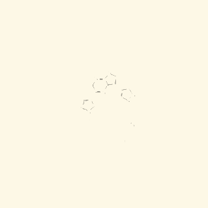 CCN1CCC(n2cc(-c3c[nH]c4ncc(-c5cn(C6CCOCC6)nc5C)nc34)cn2)CC1